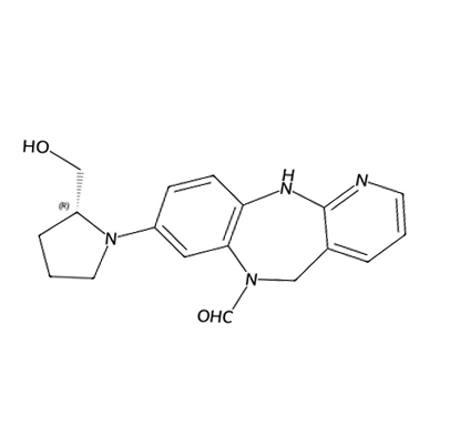 O=CN1Cc2cccnc2Nc2ccc(N3CCC[C@@H]3CO)cc21